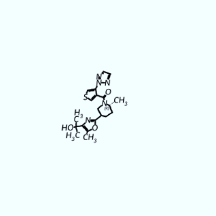 Cc1oc(C2CC[C@@H](C)N(C(=O)c3cscc3-n3nccn3)C2)nc1C(C)(C)O